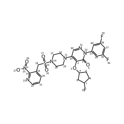 O=c1c(OC2CCC(F)C2)c(N2CCN(S(=O)(=O)Cc3cccnc3[N+](=O)[O-])CC2)cnn1-c1cc(F)cc(F)c1